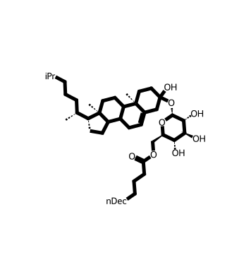 CCCCCCCCCCCCCC(=O)OC[C@H]1O[C@H](OC2(O)CC[C@@]3(C)C(=CCC4C3CC[C@@]3(C)C4CC[C@@H]3[C@H](C)CCCC(C)C)C2)[C@H](O)[C@@H](O)[C@@H]1O